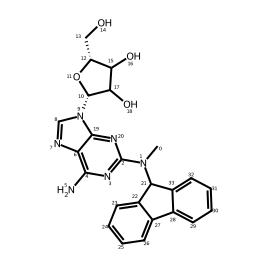 CN(c1nc(N)c2ncn([C@@H]3O[C@H](CO)C(O)C3O)c2n1)C1c2ccccc2-c2ccccc21